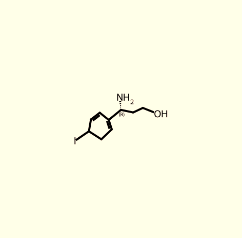 N[C@H](CCO)C1=CCC(I)C=C1